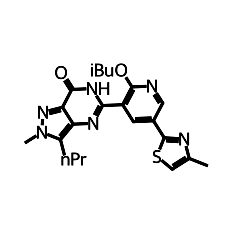 CCCc1c2nc(-c3cc(-c4nc(C)cs4)cnc3OCC(C)C)[nH]c(=O)c2nn1C